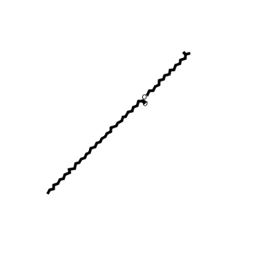 CCCCCCCCCCCCCCCCCCCCCCCCCCCCCCCCCCCCC(=O)OCCCCCCCCCCCCCCCC(C)C